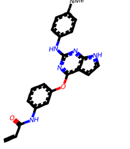 C=CC(=O)Nc1cccc(Oc2nc(Nc3ccc(NC)cc3)nc3[nH]ccc23)c1